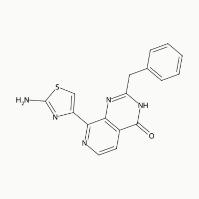 Nc1nc(-c2nccc3c(=O)[nH]c(Cc4ccccc4)nc23)cs1